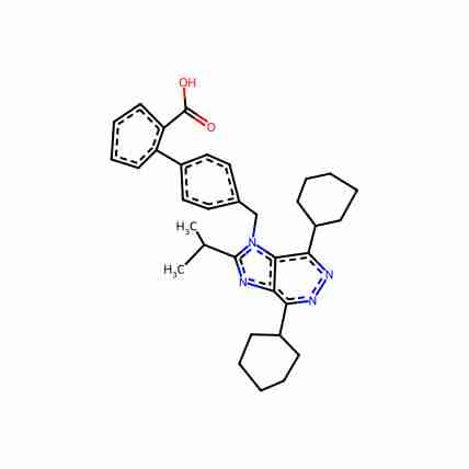 CC(C)c1nc2c(C3CCCCC3)nnc(C3CCCCC3)c2n1Cc1ccc(-c2ccccc2C(=O)O)cc1